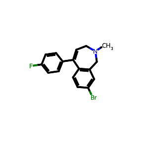 CN1CC=C(c2ccc(F)cc2)c2ccc(Br)cc2C1